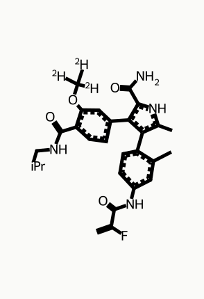 [2H]C([2H])([2H])Oc1cc(-c2c(C(N)=O)[nH]c(C)c2-c2ccc(NC(=O)C(=C)F)cc2C)ccc1C(=O)NCC(C)C